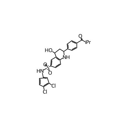 CC(C)C(=O)c1ccc(C2CC(O)c3cc(S(=O)(=O)Nc4ccc(Cl)c(Cl)c4)ccc3N2)cc1